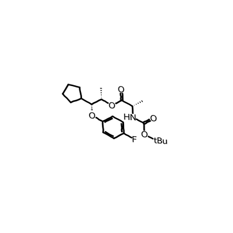 C[C@H](NC(=O)OC(C)(C)C)C(=O)O[C@@H](C)[C@H](Oc1ccc(F)cc1)C1CCCC1